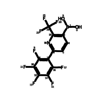 OB(O)c1ccc(-c2c(F)c(F)c(F)c(F)c2F)nc1C(F)(F)F